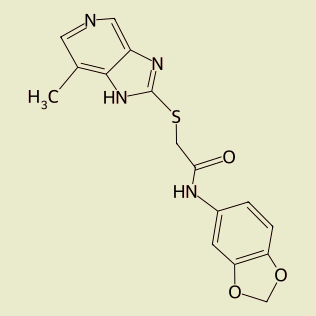 Cc1cncc2nc(SCC(=O)Nc3ccc4c(c3)OCO4)[nH]c12